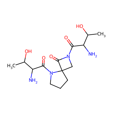 CC(O)C(N)C(=O)N1CC2(CCCN2C(=O)C(N)C(C)O)C1=O